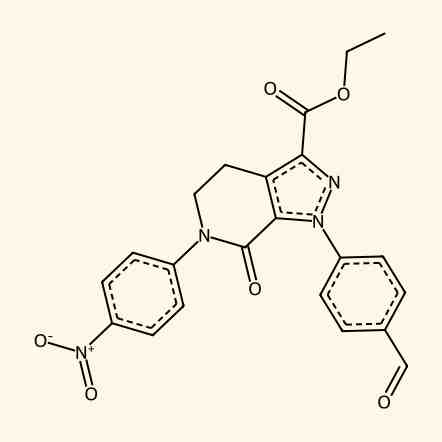 CCOC(=O)c1nn(-c2ccc(C=O)cc2)c2c1CCN(c1ccc([N+](=O)[O-])cc1)C2=O